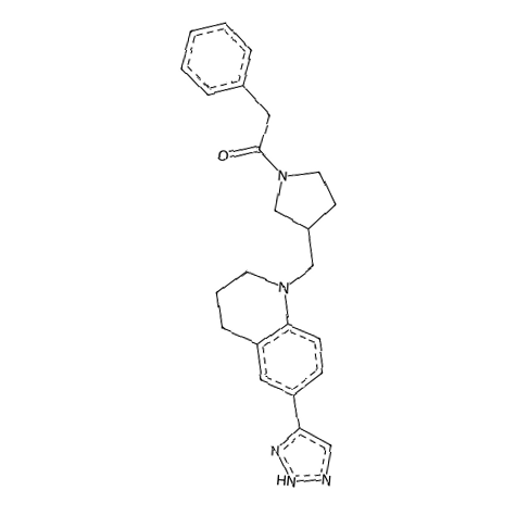 O=C(Cc1ccccc1)N1CCC(CN2CCCc3cc(-c4cn[nH]n4)ccc32)C1